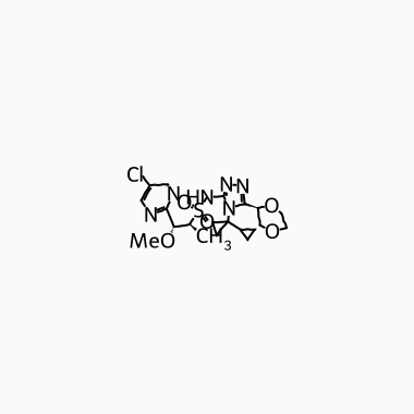 CO[C@H](c1ncc(Cl)cn1)[C@H](C)S(=O)(=O)Nc1nnc([C@@H]2COCCO2)n1C1(C2CC2)CC1